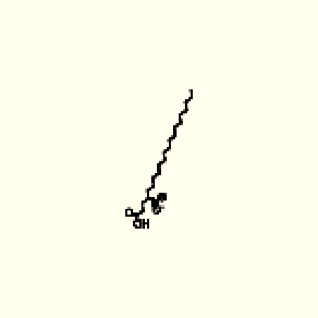 CCCCCCCCCCCCCCCCCC(CCC(=O)O)[N+](=O)[O-]